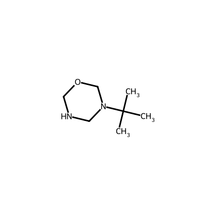 CC(C)(C)N1CNCOC1